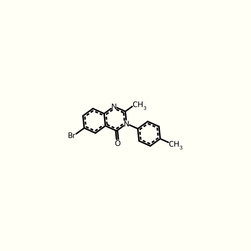 Cc1ccc(-n2c(C)nc3ccc(Br)cc3c2=O)cc1